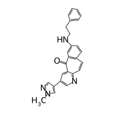 Cn1cc(-c2cnc3ccc4ccc(NCCc5ccccc5)cc4c(=O)c3c2)cn1